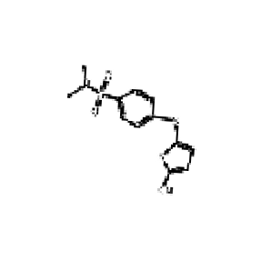 CN(C)S(=O)(=O)c1ccc(Sc2ccc(C#N)s2)cc1